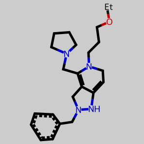 CCOCCCN1CC=C2NN(Cc3ccccc3)CC2=C1CN1CCCC1